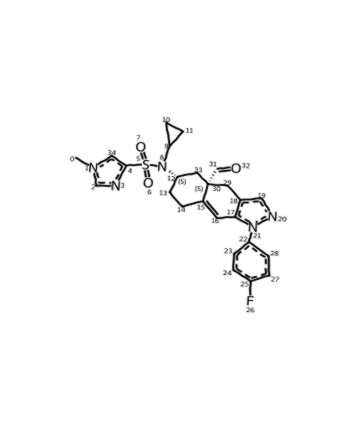 Cn1cnc(S(=O)(=O)N(C2CC2)[C@H]2CCC3=Cc4c(cnn4-c4ccc(F)cc4)C[C@]3(C=O)C2)c1